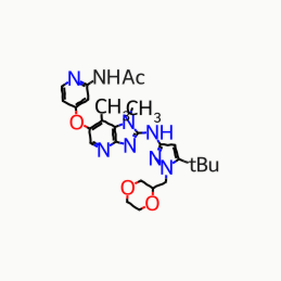 CC(=O)Nc1cc(Oc2cnc3nc(Nc4cc(C(C)(C)C)n(CC5COCCO5)n4)n(C)c3c2C)ccn1